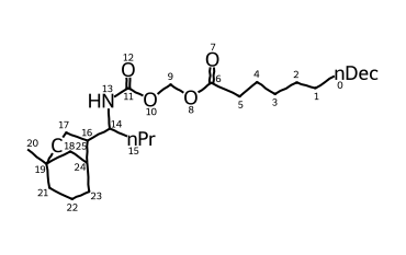 CCCCCCCCCCCCCCCC(=O)OCOC(=O)NC(CCC)C1CCC2(C)CCCC1C2